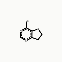 Nc1ncnc2c1SCC2